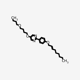 CCCCCC/C=C/COc1ccc(-c2ncc(OCCCCOCCCC)cn2)cc1